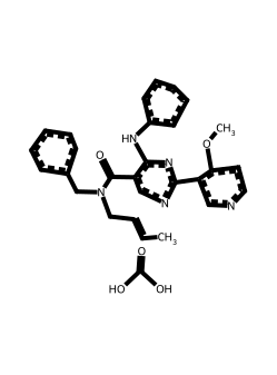 C/C=C/CN(Cc1ccccc1)C(=O)c1cnc(-c2cnccc2OC)nc1Nc1ccccc1.O=C(O)O